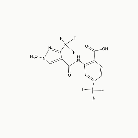 Cn1cc(C(=O)Nc2cc(C(F)(F)F)ccc2C(=O)O)c(C(F)(F)F)n1